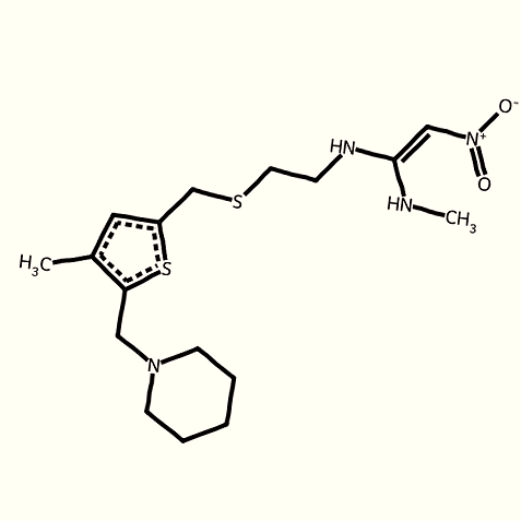 CNC(=C[N+](=O)[O-])NCCSCc1cc(C)c(CN2CCCCC2)s1